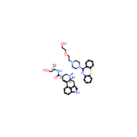 CC[C@@H](CO)NC(=O)[C@@H]1C=C2c3cccc4[nH]cc(c34)C[C@H]2N(C)C1.OCCOCCN1CCN(C2=Nc3ccccc3Sc3ccccc32)CC1